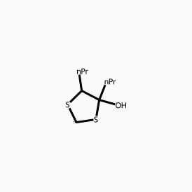 CCCC1S[C]SC1(O)CCC